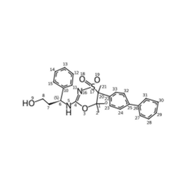 CC1(C)OC(N[C@@H](CCO)c2ccccc2)=NS(=O)(=O)C1(C)c1ccc(-c2ccccc2)cc1